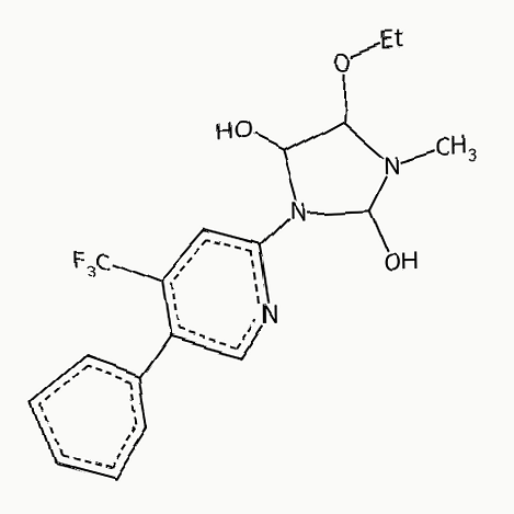 CCOC1C(O)N(c2cc(C(F)(F)F)c(-c3ccccc3)cn2)C(O)N1C